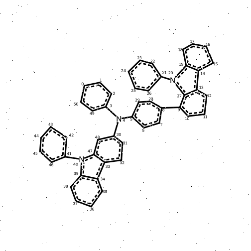 c1ccc(N(c2ccc(-c3cccc4c5ccccc5n(-c5ccccc5)c34)cc2)c2ccc3c4ccccc4n(-c4ccccc4)c3c2)cc1